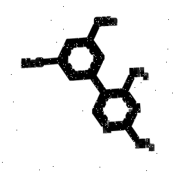 COc1cc(OC)cc(-c2cnc(N)nc2N)c1